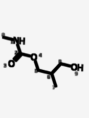 CNC(=O)OCC(C)CO